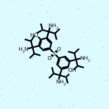 CC(C)C(N)(c1cc(S(=O)(=O)c2cc(C(N)(C(C)C)C(C)C)c(O)c(C(N)(C(C)C)C(C)C)c2)cc(C(N)(C(C)C)C(C)C)c1O)C(C)C